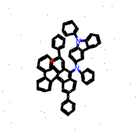 c1ccc(-c2ccc3c(N(c4ccccc4)c4ccc5c(c4)c4ccccc4n5-c4ccccc4)c4cc(-c5ccccc5)ccc4c(-c4ccccc4-c4ccccc4)c3c2)cc1